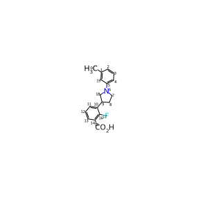 Cc1cccc(N2CCC(c3cccc(C(=O)O)c3F)C2)c1